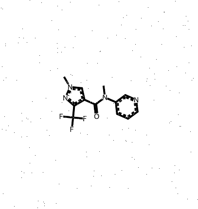 CN(C(=O)c1cn(C)nc1C(F)(F)F)c1cccnc1